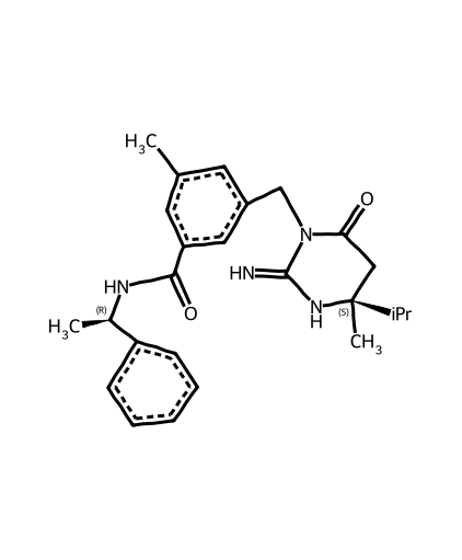 Cc1cc(CN2C(=N)N[C@](C)(C(C)C)CC2=O)cc(C(=O)N[C@H](C)c2ccccc2)c1